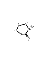 O=c1ossso1.[Na]